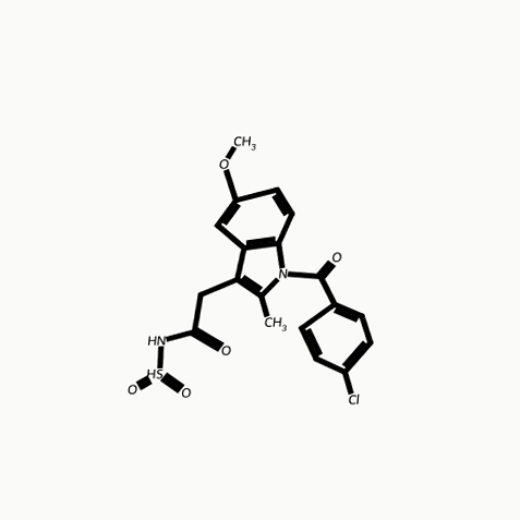 COc1ccc2c(c1)c(CC(=O)N[SH](=O)=O)c(C)n2C(=O)c1ccc(Cl)cc1